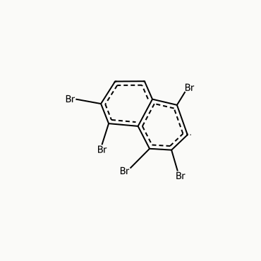 Brc1[c]c(Br)c2ccc(Br)c(Br)c2c1Br